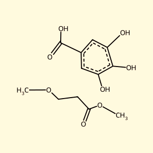 COCCC(=O)OC.O=C(O)c1cc(O)c(O)c(O)c1